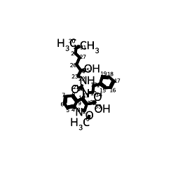 COc1nc2ccccc2c(N(CCc2ccccc2)C(=O)NCC(O)CCCC(C)C)c1C(=O)O